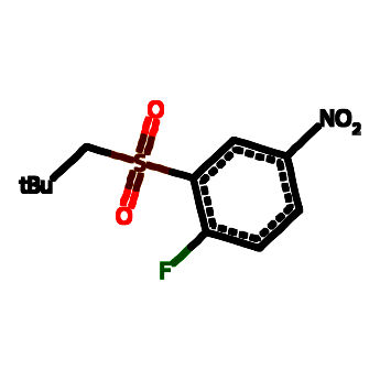 CC(C)(C)CS(=O)(=O)c1cc([N+](=O)[O-])ccc1F